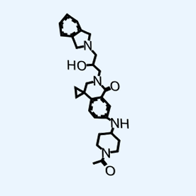 CC(=O)N1CCC(Nc2ccc3c(c2)C(=O)N(CC(O)CN2Cc4ccccc4C2)CC32CC2)CC1